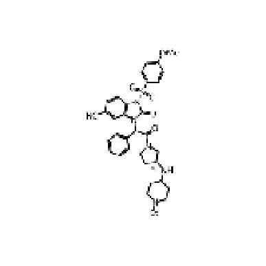 CCN1CCC(N[C@H]2CCN(C(=O)C(c3ccccc3)n3c(=O)n(S(=O)(=O)c4ccc(OC)cc4)c4ccc(C#N)cc43)C2)CC1